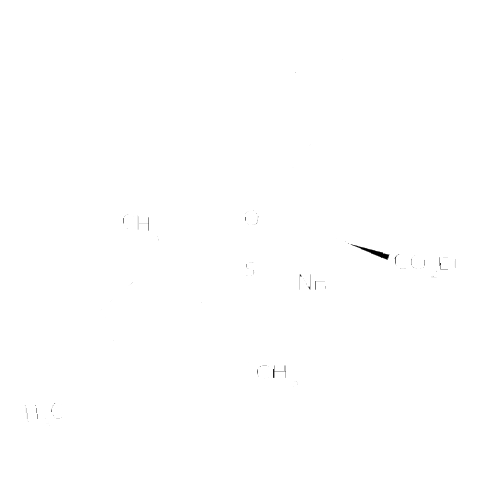 CCOC(=O)[C@@H](N[S+]([O-])c1c(C)cc(C)cc1C)C1CC2(CC2)C1